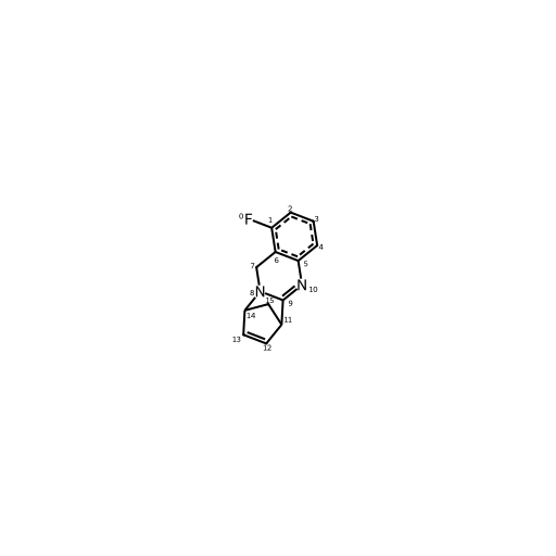 Fc1cccc2c1CN1C(=N2)C2C=CC1C2